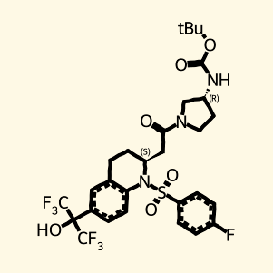 CC(C)(C)OC(=O)N[C@@H]1CCN(C(=O)C[C@@H]2CCc3cc(C(O)(C(F)(F)F)C(F)(F)F)ccc3N2S(=O)(=O)c2ccc(F)cc2)C1